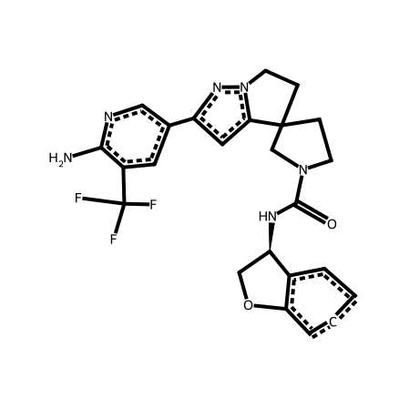 Nc1ncc(-c2cc3n(n2)CCC32CCN(C(=O)N[C@@H]3COc4ccccc43)C2)cc1C(F)(F)F